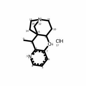 CC1c2ncccc2OC2CCN3CCC21C3.Cl